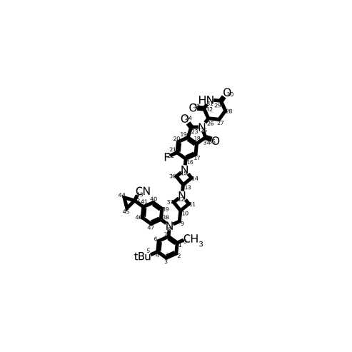 Cc1ccc(C(C)(C)C)cc1N(CC1CN(C2CN(c3cc4c(cc3F)C(=O)N(C3CCC(=O)NC3=O)C4=O)C2)C1)c1ccc(C2(C#N)CC2)cc1